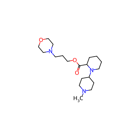 CN1CCC(N2CCCCC2C(=O)OCCCN2CCOCC2)CC1